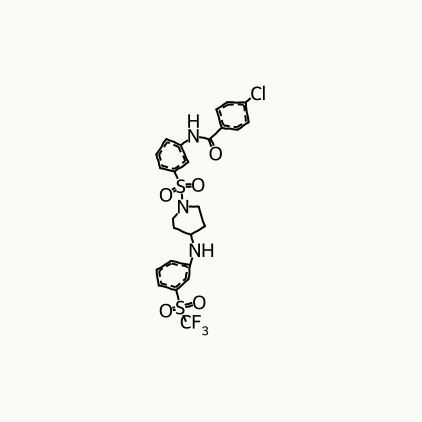 O=C(Nc1cccc(S(=O)(=O)N2CCC(Nc3cccc(S(=O)(=O)C(F)(F)F)c3)CC2)c1)c1ccc(Cl)cc1